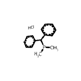 CP(C)C(c1ccccc1)c1ccccc1.Cl